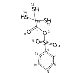 O=C(OS(=O)(=O)c1ccccc1)C(S)(S)S